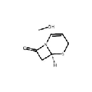 CO.O=C1C[C@@H]2SCC=CN12